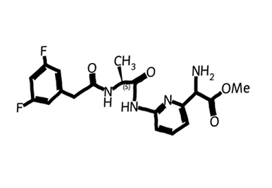 COC(=O)C(N)c1cccc(NC(=O)[C@H](C)NC(=O)Cc2cc(F)cc(F)c2)n1